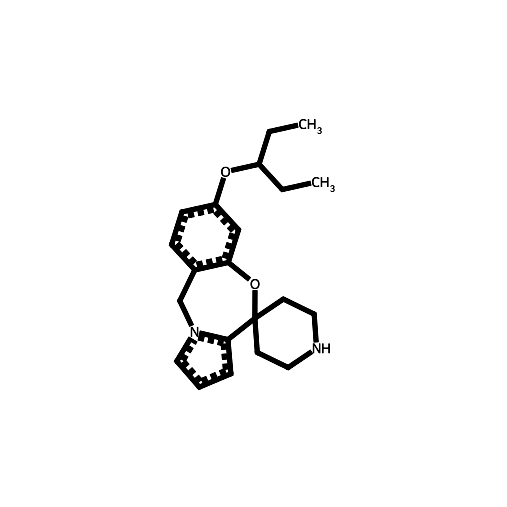 CCC(CC)Oc1ccc2c(c1)OC1(CCNCC1)c1cccn1C2